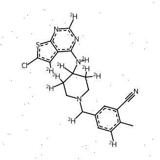 [2H]c1nc(N([2H])C2([2H])C([2H])([2H])CN(C([2H])c3cc([2H])c(C)c(C#N)c3)CC2([2H])[2H])c2c([2H])c(Cl)sc2n1